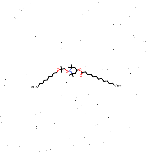 CCCCCCCCCCCCCCCCCCCCCC(=O)OC1CC(C)(C)N(OCC(C)(C)OCCCCCCCCCCCCCCCCCC)C(C)(C)C1